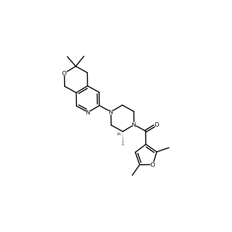 Cc1cc(C(=O)N2CCN(c3cc4c(cn3)COC(C)(C)C4)C[C@H]2C)c(C)o1